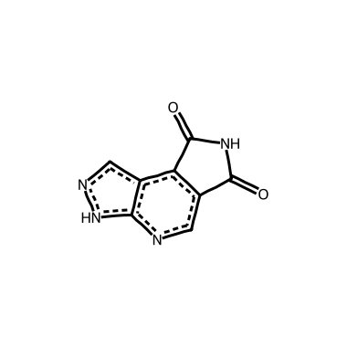 O=C1NC(=O)c2c1cnc1[nH]ncc21